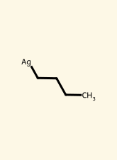 CCC[CH2][Ag]